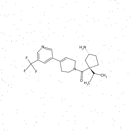 CC(C)[C@]1(C(=O)N2CC=C(c3cncc(C(F)(F)F)c3)CC2)CC[C@@H](N)C1